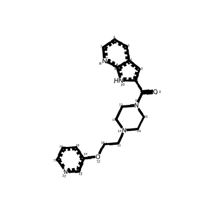 O=C(c1cc2cccnc2[nH]1)N1CCN(CCOc2cccnc2)CC1